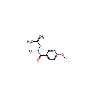 C=C(C)CN(C)C(=O)c1ccc(OC(F)(F)F)cc1